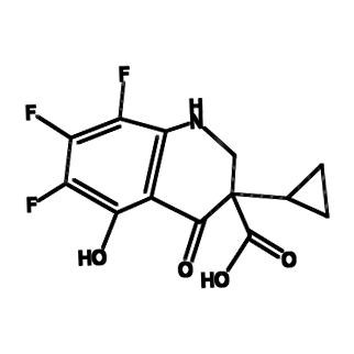 O=C(O)C1(C2CC2)CNc2c(F)c(F)c(F)c(O)c2C1=O